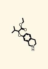 CCOC(=O)C(Oc1ccc2c(c1)CNCC2)C(C)C